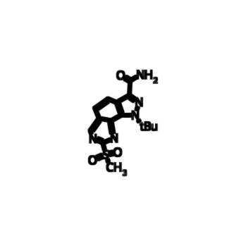 CC(C)(C)n1nc(C(N)=O)c2ccc3cnc(S(C)(=O)=O)nc3c21